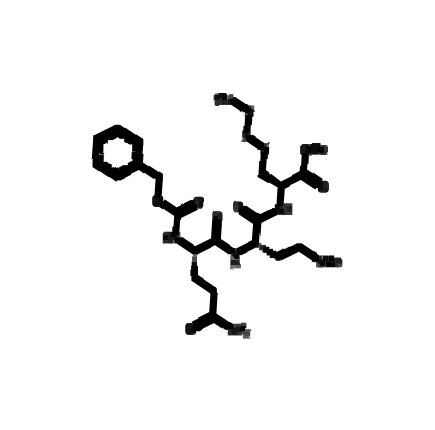 COC(=O)[C@H](CSSSC(C)(C)C)NC(=O)[C@H](CCSC)NC(=O)[C@H](CCC(N)=O)NC(=O)OCc1ccccc1